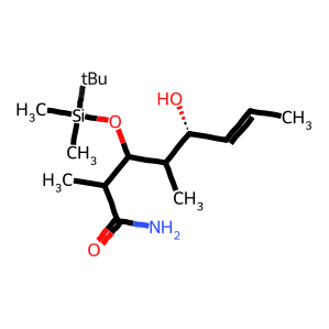 CC=C[C@@H](O)C(C)C(O[Si](C)(C)C(C)(C)C)C(C)C(N)=O